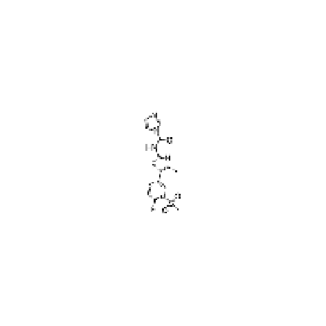 Cc1nc(NC(=O)n2ccnc2)sc1-c1ccc(F)c(S(C)(=O)=O)c1